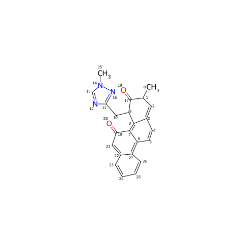 CC1C=c2ccc3c(c2C(Cc2ncn(C)n2)C1=O)C(=O)C=c1ccccc1=3